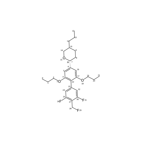 CCCOc1cc([C@H]2CCC(CCC)CO2)cc(OCCC)c1-c1cc(F)c(CF)c(F)c1